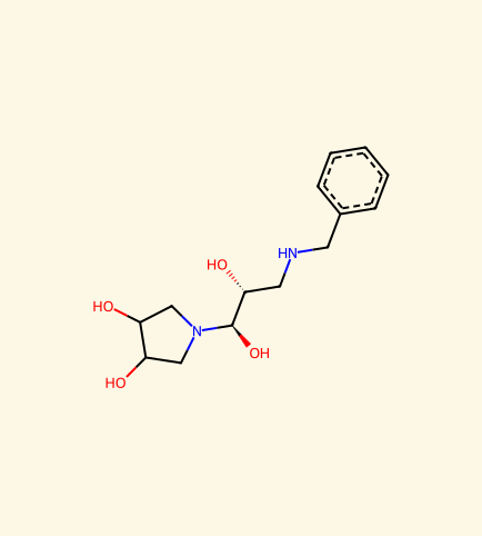 OC1CN([C@H](O)[C@H](O)CNCc2ccccc2)CC1O